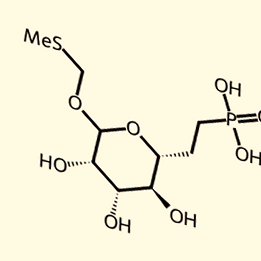 CSCOC1O[C@H](CCP(=O)(O)O)[C@@H](O)[C@H](O)[C@@H]1O